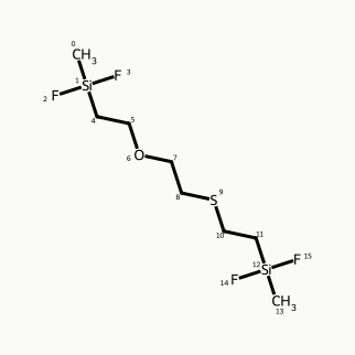 C[Si](F)(F)CCOCCSCC[Si](C)(F)F